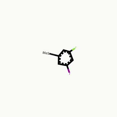 CSc1cc(F)cc(I)c1